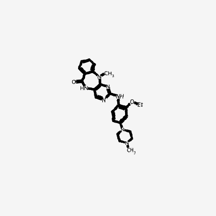 CCOc1cc(N2CCN(C)CC2)ccc1Nc1ncc2c(n1)N(C)c1ccccc1C(=O)N2